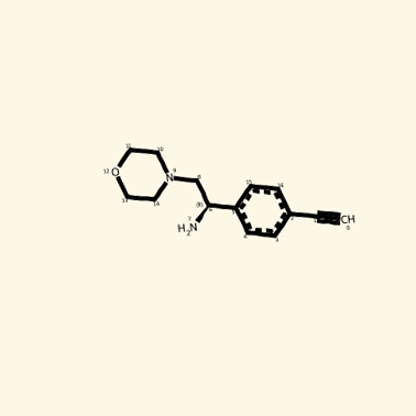 C#Cc1ccc([C@@H](N)CN2CCOCC2)cc1